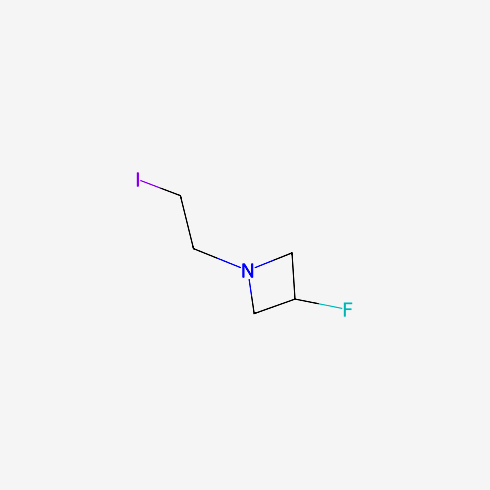 FC1CN(CCI)C1